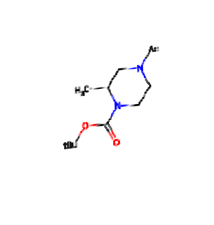 CC(=O)N1CCN(C(=O)OC(C)(C)C)C(C)C1